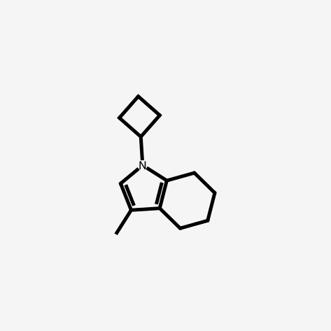 Cc1cn(C2CCC2)c2c1CCCC2